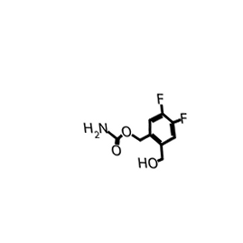 NC(=O)OCc1cc(F)c(F)cc1CO